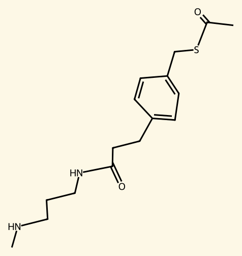 CNCCCNC(=O)CCc1ccc(CSC(C)=O)cc1